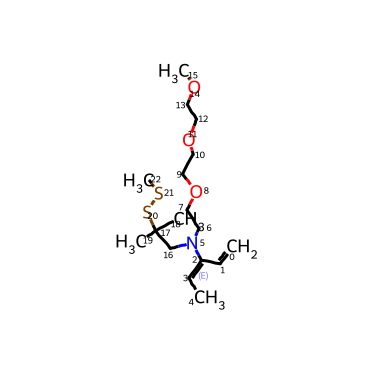 C=C/C(=C\C)N(CCOCCOCCOC)CC(C)(C)SSC